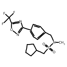 CN(Cc1ccc(-c2noc(C(F)(F)F)n2)cc1)S(=O)(=O)CC1CCCC1